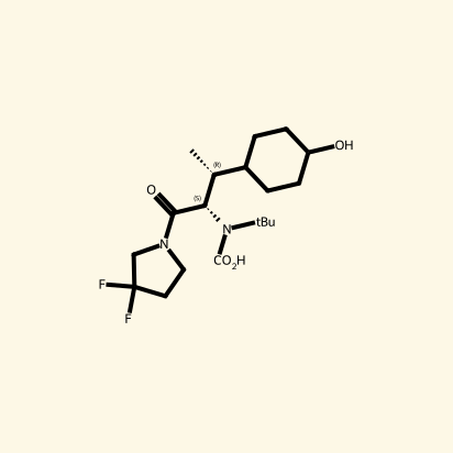 C[C@H](C1CCC(O)CC1)[C@@H](C(=O)N1CCC(F)(F)C1)N(C(=O)O)C(C)(C)C